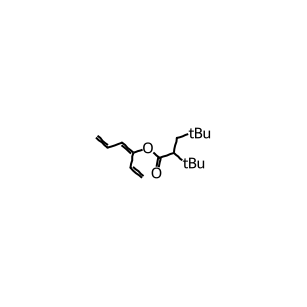 C=C/C=C(\C=C)OC(=O)C(CC(C)(C)C)C(C)(C)C